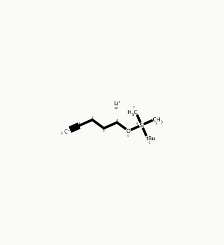 [C-]#CCCCO[Si](C)(C)C(C)(C)C.[Li+]